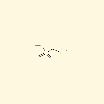 CCCOS(=O)(=O)CNC=O